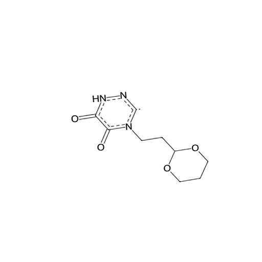 O=c1[nH]n[c]n(CCC2OCCCO2)c1=O